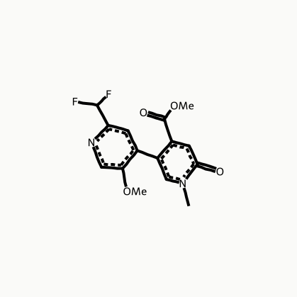 COC(=O)c1cc(=O)n(C)cc1-c1cc(C(F)F)ncc1OC